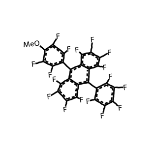 COc1c(F)c(F)c(-c2c3c(F)c(F)c(F)c(F)c3c(-c3c(F)c(F)c(F)c(F)c3F)c3c(F)c(F)c(F)c(F)c23)c(F)c1F